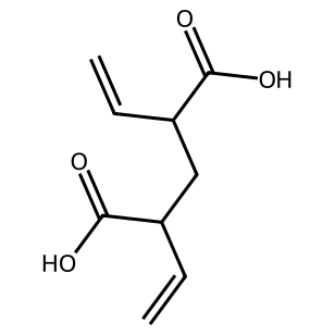 C=CC(CC(C=C)C(=O)O)C(=O)O